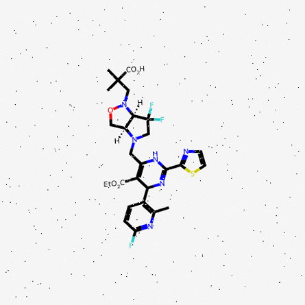 CCOC(=O)C1=C(CN2CC(F)(F)[C@H]3[C@@H]2CON3CC(C)(C)C(=O)O)NC(c2nccs2)=NC1c1ccc(F)nc1C